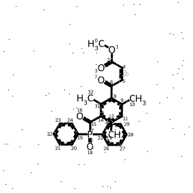 COC(=O)/C=C\C(=O)c1c(C)cc(C)c(C(=O)P(=O)(c2ccccc2)c2ccccc2)c1C